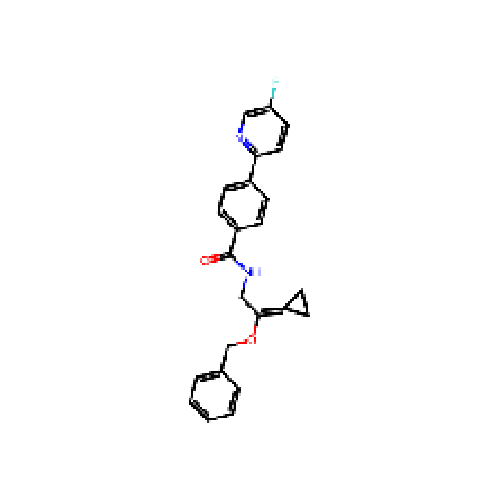 O=C(NCC(OCc1ccccc1)=C1CC1)c1ccc(-c2ccc(F)cn2)cc1